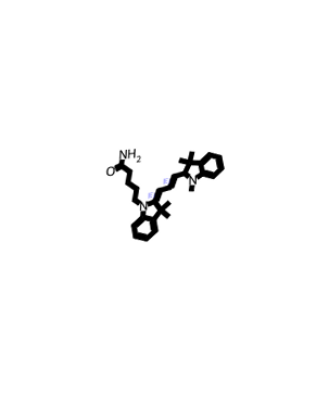 CN1c2ccccc2C(C)(C)C1/C=C/C=C1/N(CCCCC(N)=O)c2ccccc2C1(C)C